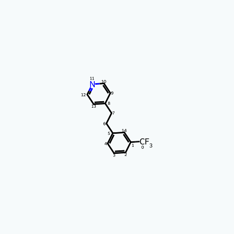 FC(F)(F)c1cccc(CCc2ccncc2)c1